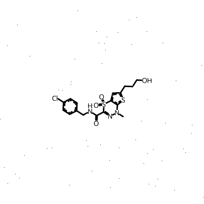 CN1N=C(C(=O)NCc2ccc(Cl)cc2)S(=O)(=O)c2cc(CCCO)sc21